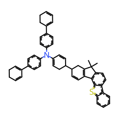 CC1(C)C2=C(C=CC(C3C=CC(N(c4ccc(C5=CCCC=C5)cc4)c4ccc(C5=CC=CCC5)cc4)=CC3)C2)c2c1ccc1c2sc2ccccc21